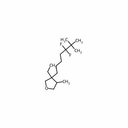 CCC1(CCCCC(F)(F)C(C)(C)C)COCC1C